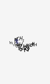 C/N=N\C=C(/C)NC(=O)c1cn2ccc(-c3nccc(Nc4ccc5[nH]ncc5c4)n3)cc2n1